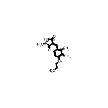 CCCOc1ccc(C=C2C(=O)NN(C)C2=O)c(C)c1C